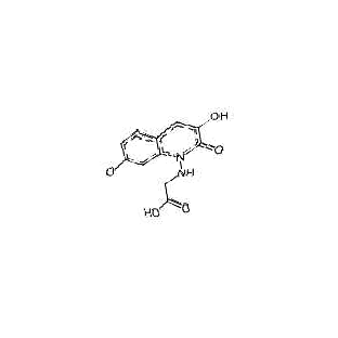 O=C(O)CNn1c(=O)c(O)cc2ccc(Cl)cc21